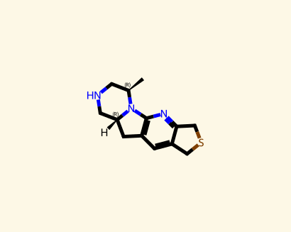 C[C@@H]1CNC[C@H]2Cc3cc4c(nc3N21)CSC4